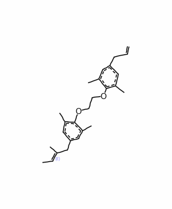 C=CCc1cc(C)c(OCCOc2c(C)cc(C/C(C)=C/C)cc2C)c(C)c1